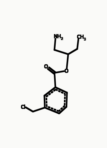 CCC(CN)OC(=O)c1cccc(CCl)c1